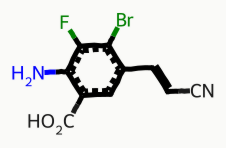 N#CC=Cc1cc(C(=O)O)c(N)c(F)c1Br